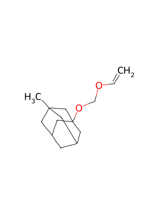 C=COCOC12CC3CC(CC(C)(C3)C1)C2